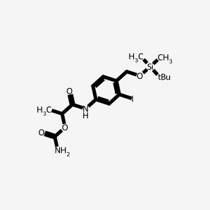 CC(OC(N)=O)C(=O)Nc1ccc(CO[Si](C)(C)C(C)(C)C)c(I)c1